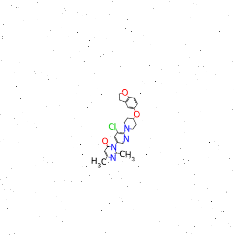 Cc1cc(=O)n(-c2cnc(N3CCC(Oc4ccc5c(c4)CCO5)CC3)c(Cl)c2)c(C)n1